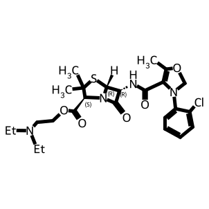 CCN(CC)CCOC(=O)[C@@H]1N2C(=O)[C@@H](NC(=O)C3=C(C)OCN3c3ccccc3Cl)[C@H]2SC1(C)C